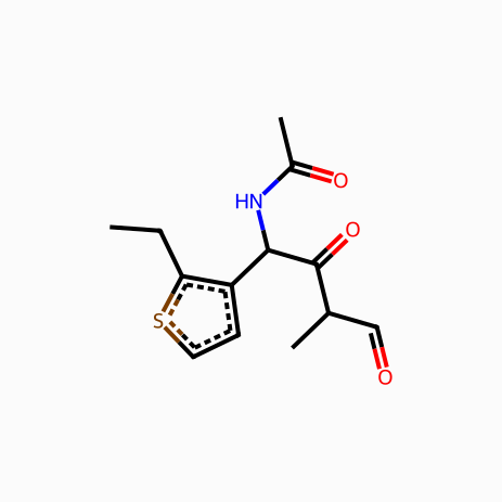 CCc1sccc1C(NC(C)=O)C(=O)C(C)C=O